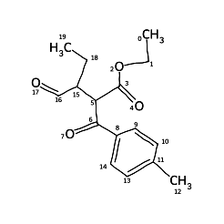 CCOC(=O)C(C(=O)c1ccc(C)cc1)C(C=O)CC